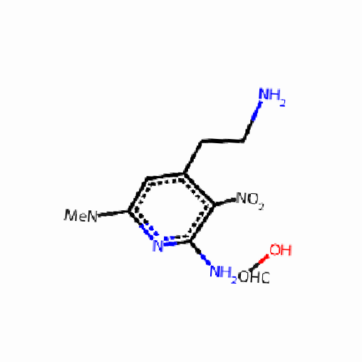 CNc1cc(CCN)c([N+](=O)[O-])c(N)n1.O=CO